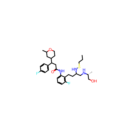 CCCSNC(CCc1c(F)cccc1NC(=O)CC(c1ccc(F)cc1)C1CCOC(C)C1)CN[C@H](C)CO